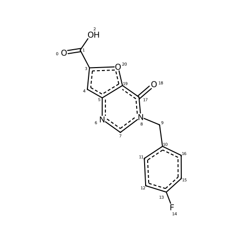 O=C(O)c1cc2ncn(Cc3ccc(F)cc3)c(=O)c2o1